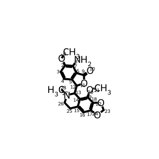 COc1ccc2c(c1N)C(=O)OC2C1c2c(cc3c(c2OC)OCO3)CCN1C